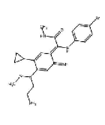 CNC(=O)/C(Nc1ccc(Br)cc1)=C1\C=C(C2CC2)C(N(CCN)SC)=CC1=N